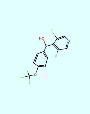 OC(c1ccc(OC(F)(F)F)cc1)c1c(F)cncc1F